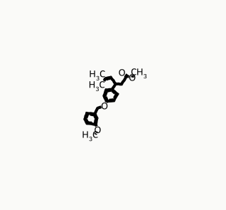 COC(=O)CC(C=C(C)C)c1ccc(OCc2cccc(OC)c2)cc1